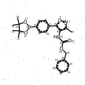 Cc1noc(-c2ccc(B3OC(C)(C)C(C)(C)O3)cc2)c1NC(=O)OCc1ccccc1